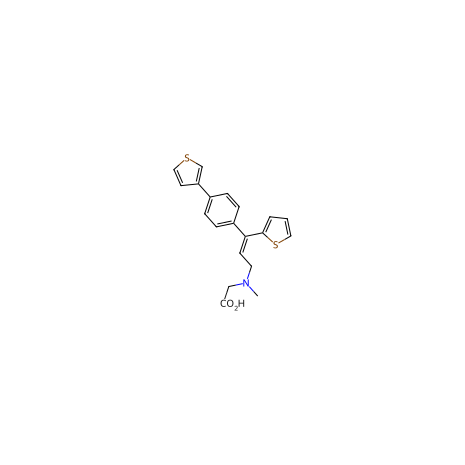 CN(C/C=C(/c1ccc(-c2ccsc2)cc1)c1cccs1)CC(=O)O